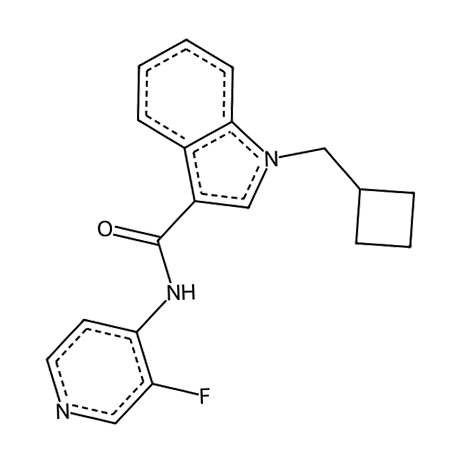 O=C(Nc1ccncc1F)c1cn(CC2CCC2)c2ccccc12